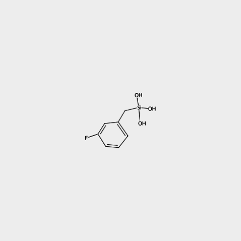 O[Si](O)(O)Cc1cccc(F)c1